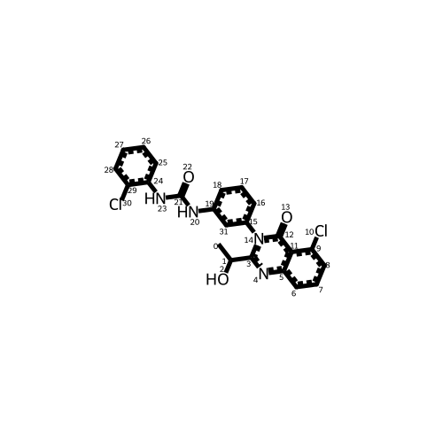 CC(O)c1nc2cccc(Cl)c2c(=O)n1-c1cccc(NC(=O)Nc2ccccc2Cl)c1